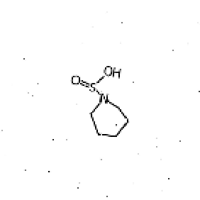 O=S(O)N1CCCCC1